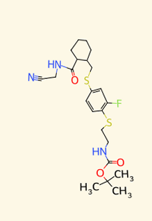 CC(C)(C)OC(=O)NCCSc1ccc(SCC2CCCCC2C(=O)NCC#N)cc1F